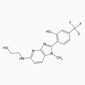 Cn1c(-c2ccc(C(F)(F)F)cc2O)nc2nc(NCCO)ccc21